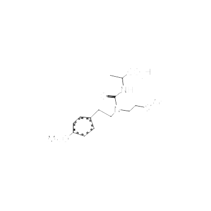 COc1ccc(CCN(CCSC(C)=O)C(=O)NC(C)C(=O)O)cc1